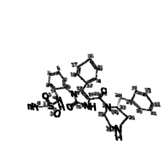 CCCS(=O)(=O)Nc1ccccc1-n1c(-c2ccccc2)c(C(=O)N2CCNC[C@H]2Cc2ccccc2)[nH]c1=O